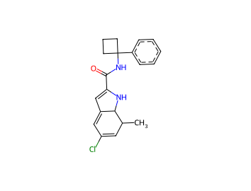 CC1C=C(Cl)C=C2C=C(C(=O)NC3(c4ccccc4)CCC3)NC21